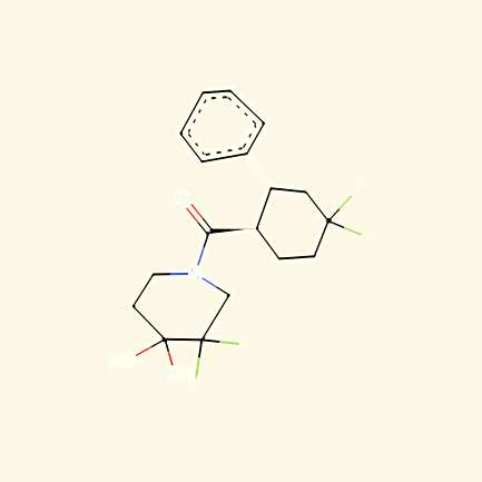 O=C([C@@H]1CCC(F)(F)C[C@H]1c1ccccc1)N1CCC(O)(O)C(F)(F)C1